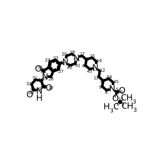 CC(C)(C)OC(=O)N1CCC(CCN2CCC(CN3CCN(c4ccc5c(c4)CN(C4CCC(=O)NC4=O)C5=O)CC3)CC2)CC1